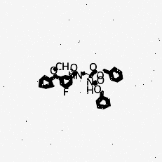 COC(c1ccccc1)c1cc(F)cc(C(=O)NC[C@@H](NC(=O)OCc2ccccc2)C(=O)OCc2ccccc2)c1